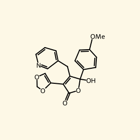 COc1ccc(C2(O)OC(=O)C(C3=COCO3)=C2Cc2cccnc2)cc1